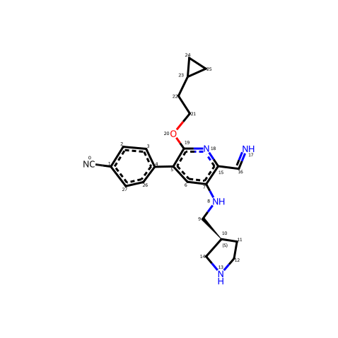 N#Cc1ccc(-c2cc(NC[C@H]3CCNC3)c(C=N)nc2OCCC2CC2)cc1